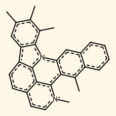 Cc1cc2c3ccc4cc[n+](C)c5c6c(C)c7ccccc7cc6n(c2c(C)c1C)c3c45